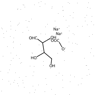 O=C([O-])[O-].O=CC(O)C(O)CO.[Na+].[Na+]